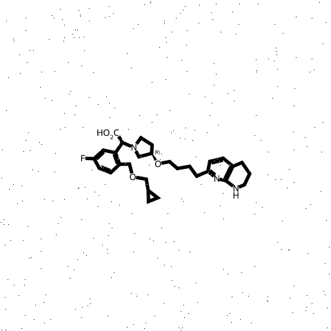 O=C(O)C(c1cc(F)ccc1COCC1CC1)N1CC[C@@H](OCCCCc2ccc3c(n2)NCCC3)C1